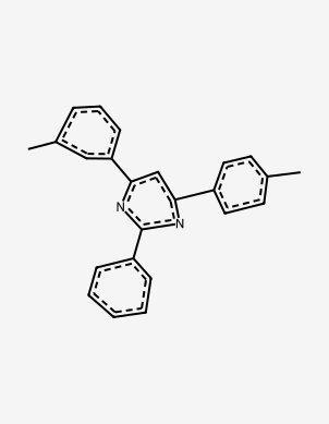 Cc1ccc(-c2cc(-c3cccc(C)c3)nc(-c3ccccc3)n2)cc1